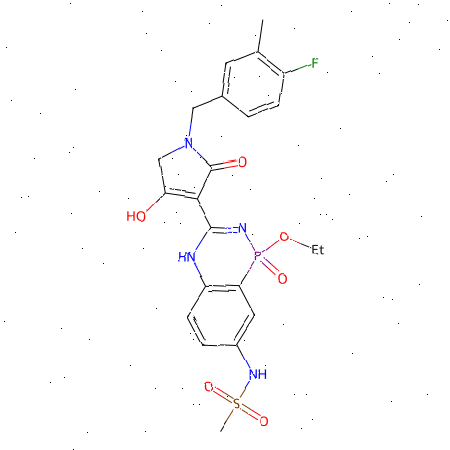 CCOP1(=O)N=C(C2=C(O)CN(Cc3ccc(F)c(C)c3)C2=O)Nc2ccc(NS(C)(=O)=O)cc21